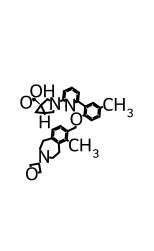 Cc1ccc(OCc2ccc3c(c2C)CCN(C2COC2)CC3)c(-c2cccc(N3C[C@@H]4C[C@]4(C(=O)O)C3)n2)c1